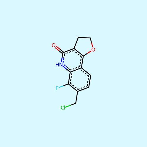 O=c1[nH]c2c(F)c(CCl)ccc2c2c1CCO2